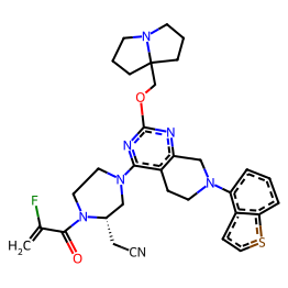 C=C(F)C(=O)N1CCN(c2nc(OCC34CCCN3CCC4)nc3c2CCN(c2cccc4sccc24)C3)C[C@@H]1CC#N